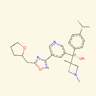 CC(C)c1ccc([C@](O)(c2cncc(-c3noc(CC4CCCO4)n3)c2)C2(C)CN(C)C2)cc1